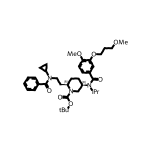 COCCCOc1cc(C(=O)N(C(C)C)[C@@H]2CC[C@H](CCN(C(=O)c3ccccc3)C3CC3)N(C(=O)OC(C)(C)C)C2)ccc1OC